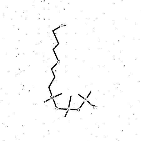 CC[Si](C)(C)O[Si](C)(C)O[Si](C)(C)CCCOCCCO